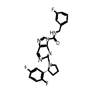 O=C(NCc1cccc(F)c1)n1cnc2cnc(N3CCC[C@@H]3c3cc(F)ccc3F)nc21